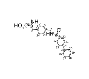 N[C@@H](Cc1ccc(CNC(=O)c2ccc(-c3ccccc3)cc2)cc1)C(=O)O